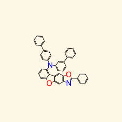 c1ccc(-c2ccc(N(c3cccc(-c4ccccc4)c3)c3cccc4oc5cc6nc(-c7ccccc7)oc6cc5c34)cc2)cc1